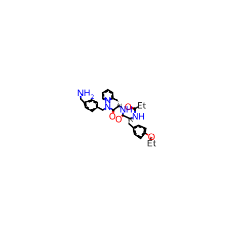 CCOc1ccc(C[C@@H](NC(=O)CC)C(=O)N[C@@H](Cc2ccccn2)C(=O)NCc2ccc(CN)cc2)cc1